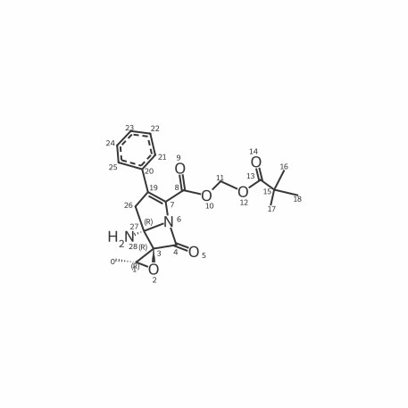 C[C@H]1O[C@@]12C(=O)N1C(C(=O)OCOC(=O)C(C)(C)C)=C(c3ccccc3)C[C@@]12N